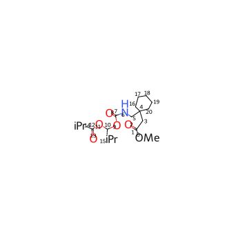 COC(=O)CC1(CNC(=O)OC(OC(=O)C(C)C)C(C)C)CCCCC1